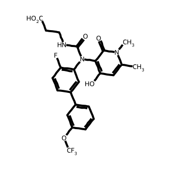 Cc1cc(O)c(N(C(=O)NCCC(=O)O)c2cc(-c3cccc(OC(F)(F)F)c3)ccc2F)c(=O)n1C